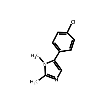 Cc1ncc(-c2ccc(Cl)cc2)n1C